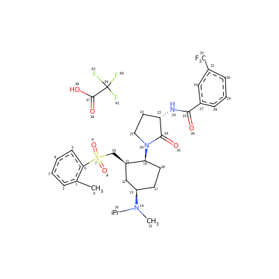 Cc1ccccc1S(=O)(=O)C[C@@H]1C[C@H](N(C)C(C)C)CC[C@@H]1N1CC[C@H](NC(=O)c2cccc(C(F)(F)F)c2)C1=O.O=C(O)C(F)(F)F